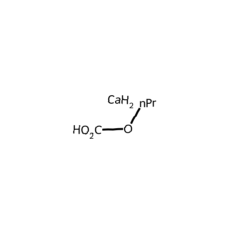 CCCOC(=O)O.[CaH2]